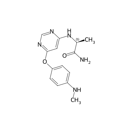 CNc1ccc(Oc2cc(N[C@@H](C)C(N)=O)ncn2)cc1